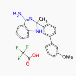 COc1cccc(-c2cccc(C3(C)N=C(N)c4ccccc4N3)c2)c1.O=C(O)C(F)(F)F